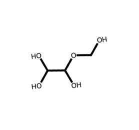 OCOC(O)C(O)O